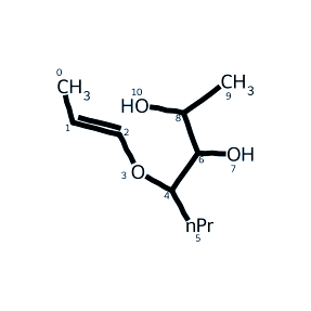 CC=COC(CCC)C(O)C(C)O